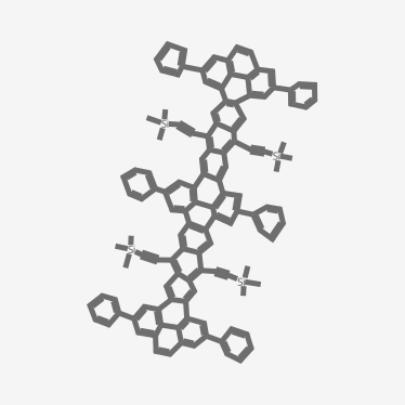 C[Si](C)(C)C#Cc1c2cc3c(cc2c(C#C[Si](C)(C)C)c2cc4c(cc12)c1cc(-c2ccccc2)cc2c5cc6c(C#C[Si](C)(C)C)c7cc8c(cc7c(C#C[Si](C)(C)C)c6cc5c5cc(-c6ccccc6)cc4c5c12)c1cc(-c2ccccc2)cc2ccc4cc(-c5ccccc5)cc8c4c21)c1cc(-c2ccccc2)cc2ccc4cc(-c5ccccc5)cc3c4c21